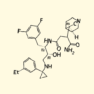 CCc1cccc(C2(NC[C@@H](O)[C@H](Cc3cc(F)cc(F)c3)NC(=O)CC(C(N)=O)[C@@H]3CN4CCC3CC4)CC2)c1